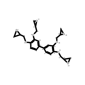 c1cc(OCC2CO2)c(OCC2CO2)cc1-c1ccc(OCC2CO2)c(OCC2CO2)c1